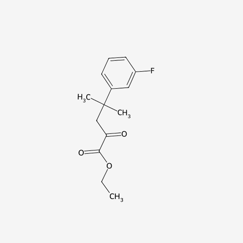 CCOC(=O)C(=O)CC(C)(C)c1cccc(F)c1